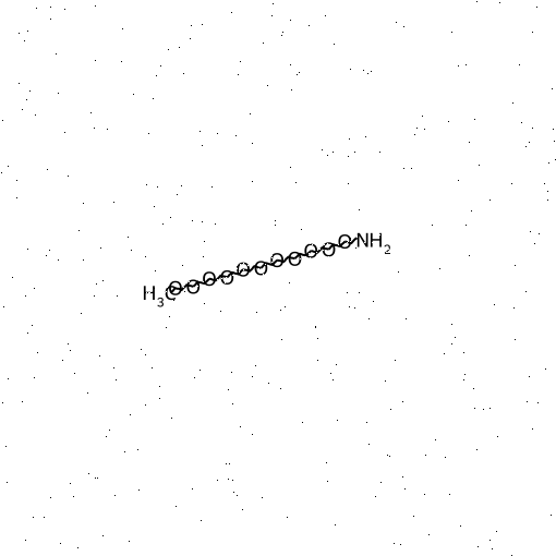 COCCOCCOCCOCCOCCOCCOCCOCCOCCOCCOCCN